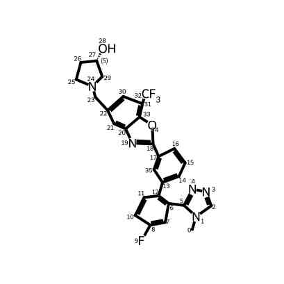 Cn1cnnc1-c1cc(F)ccc1-c1cccc(-c2nc3cc(CN4CC[C@H](O)C4)cc(C(F)(F)F)c3o2)c1